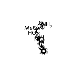 CO[C@H](COS(N)(=O)=O)[C@@H](O)Cn1cnc2c(CN3Cc4ccccc4C3)ncnc21